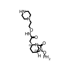 O=C(C[C@@H]1CC[C@H]2CN1C(=O)N2OP)NOCCN1CCNCC1